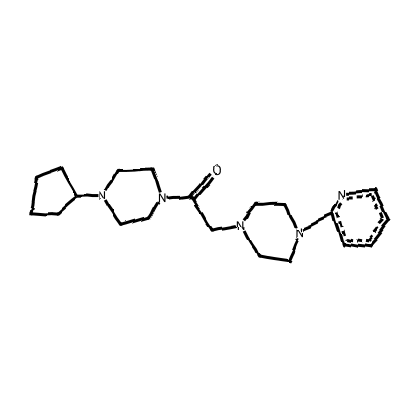 O=C(CN1CCN(c2ccccn2)CC1)N1CCN(C2CCCC2)CC1